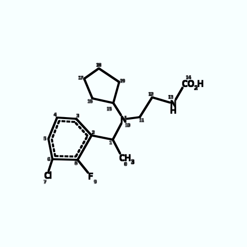 CC(c1cccc(Cl)c1F)N(CCNC(=O)O)C1CCCC1